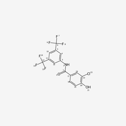 O=C(Nc1cc(C(F)(F)F)cc(C(F)(F)F)c1)c1ccc(O)c(Cl)c1